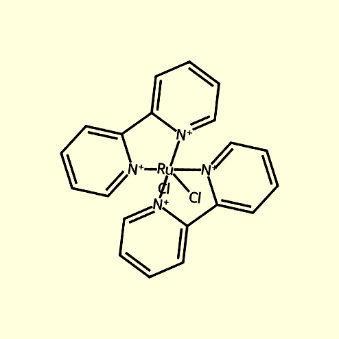 [Cl][Ru]12([Cl])([n+]3ccccc3-c3cccc[n+]31)[n+]1ccccc1-c1cccc[n+]12